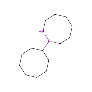 C1CCCC(P2CCCCCCP2)CCC1